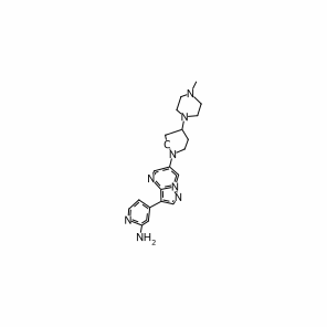 CN1CCN(C2CCN(c3cnc4c(-c5ccnc(N)c5)cnn4c3)CC2)CC1